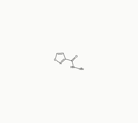 CCCCNC(=O)c1ccon1